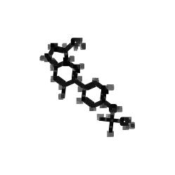 Cc1cc2nnc(C(F)(F)F)n2nc1-c1ccc(OC(C)(C)C(F)(F)F)nc1